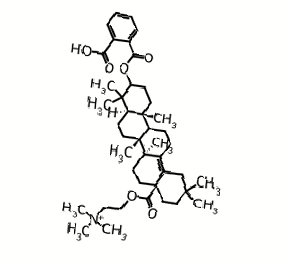 CC1(C)CC[C@]2(C(=O)OCC[N+](C)(C)C)CC[C@]3(C)C(=C2C1)CCC1[C@@]2(C)CCC(OC(=O)c4ccccc4C(=O)O)C(C)(C)[C@@H]2CC[C@]13C